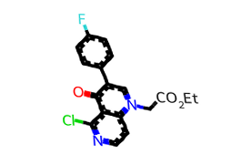 CCOC(=O)Cn1cc(-c2ccc(F)cc2)c(=O)c2c(Cl)nccc21